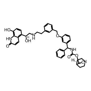 O=C(NC(c1ccccc1)c1cccc(OCc2cccc(CCNC[C@@H](O)c3ccc(O)c4[nH]c(=O)ccc34)c2)c1)O[C@H]1CN2CCC1CC2